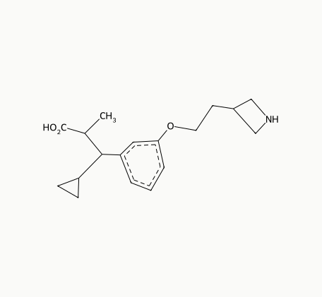 CC(C(=O)O)C(c1cccc(OCCC2CNC2)c1)C1CC1